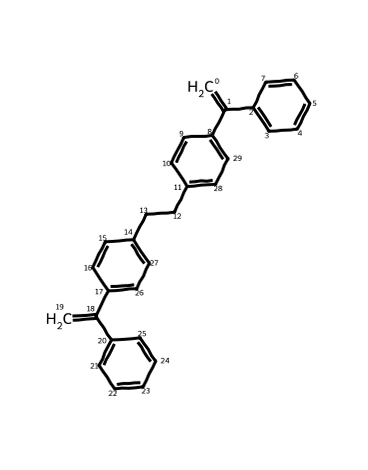 C=C(c1ccccc1)c1ccc(CCc2ccc(C(=C)c3ccccc3)cc2)cc1